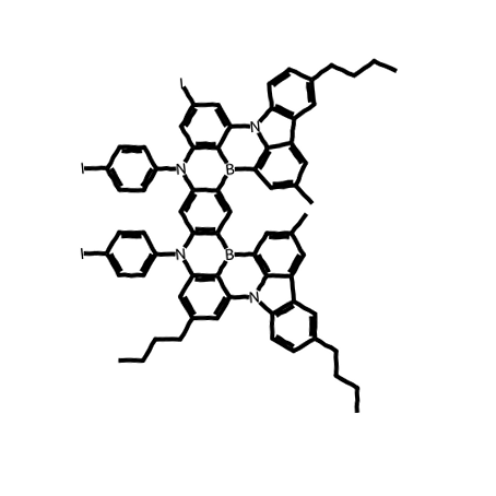 CCCCc1cc2c3c(c1)-n1c4ccc(CCCC)cc4c4cc(C)cc(c41)B3c1cc3c(cc1N2c1ccc(I)cc1)N(c1ccc(I)cc1)c1cc(I)cc2c1B3c1cc(C)cc3c4cc(CCCC)ccc4n-2c13